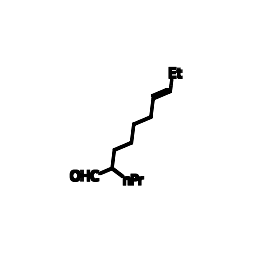 CCC=CCCCCC(C=O)CCC